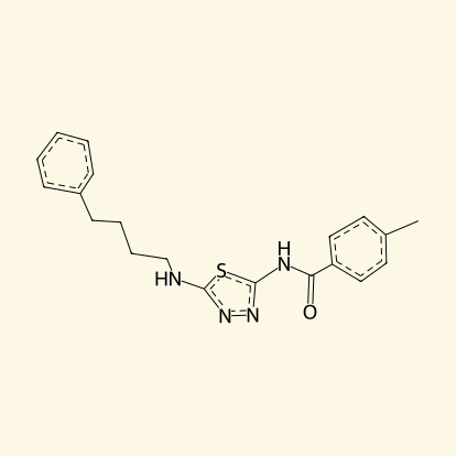 Cc1ccc(C(=O)Nc2nnc(NCCCCc3ccccc3)s2)cc1